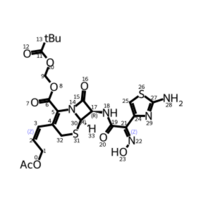 CC(=O)OC/C=C\C1=C(C(=O)OCOC(=O)C(C)(C)C)N2C(=O)[C@@H](NC(=O)/C(=N\O)c3csc(N)n3)[C@H]2SC1